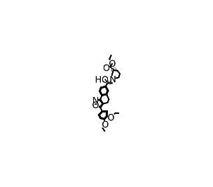 CCOC(=O)[C@H]1CCCN(C[C@H](O)c2ccc3c(c2)CCc2c-3noc2-c2ccc(OCC)c(OCC)c2)C1